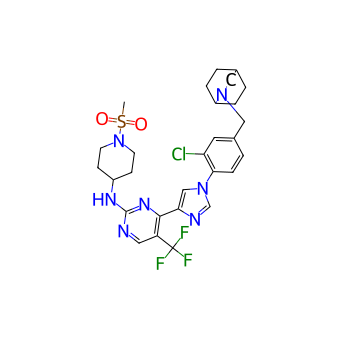 CS(=O)(=O)N1CCC(Nc2ncc(C(F)(F)F)c(-c3cn(-c4ccc(CN5CC6CCC5CC6)cc4Cl)cn3)n2)CC1